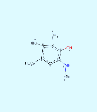 Cc1c(O)c(NC(C)(C)C)cc(S(=O)(=O)O)c1C(C)(C)C